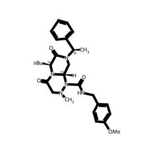 CCCC[C@H]1C(=O)N([C@H](C)c2ccccc2)C[C@H]2N1C(=O)CN(C)N2C(=O)NCc1ccc(OC)cc1